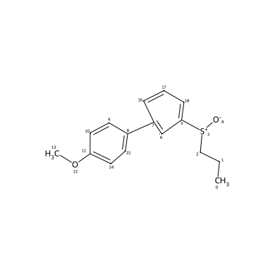 CCC[S+]([O-])c1[c]c(-c2ccc(OC)cc2)ccc1